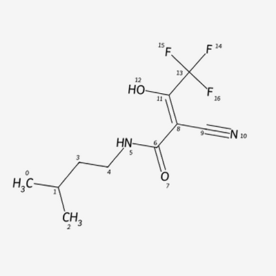 CC(C)CCNC(=O)C(C#N)=C(O)C(F)(F)F